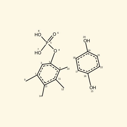 Cc1cc(OP(=O)(O)O)c(C)c(C)c1C.Oc1ccc(O)cc1